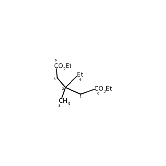 CCOC(=O)CC(C)(CC)CC(=O)OCC